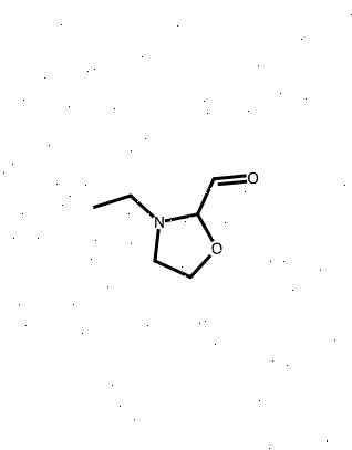 CCN1CCOC1C=O